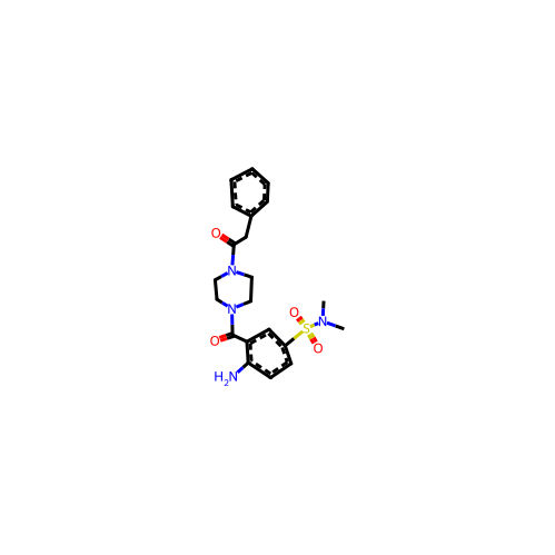 CN(C)S(=O)(=O)c1ccc(N)c(C(=O)N2CCN(C(=O)Cc3ccccc3)CC2)c1